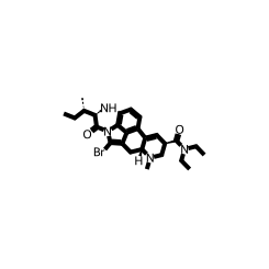 CC[C@H](C)[C@H](N)C(=O)n1c(Br)c2c3c(cccc31)C1=C[C@@H](C(=O)N(CC)CC)CN(C)[C@@H]1C2